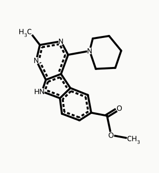 COC(=O)c1ccc2[nH]c3nc(C)nc(N4CCCCC4)c3c2c1